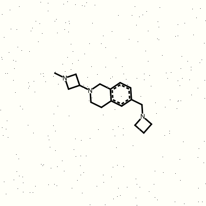 CN1CC(N2CCc3cc(CN4CCC4)ccc3C2)C1